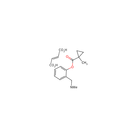 CNCc1ccccc1OC(=O)C1(C)CC1.O=C(O)/C=C/C(=O)O